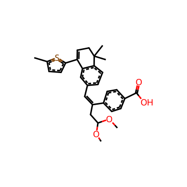 COC(C/C(=C/c1ccc2c(c1)C(c1ccc(C)s1)=CCC2(C)C)c1ccc(C(=O)O)cc1)OC